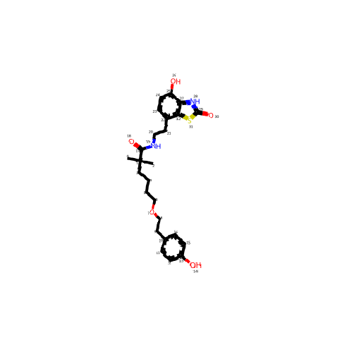 CC(C)(CCCCOCCc1ccc(O)cc1)C(=O)NCCc1ccc(O)c2[nH]c(=O)sc12